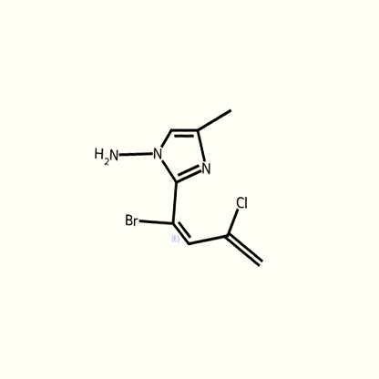 C=C(Cl)/C=C(/Br)c1nc(C)cn1N